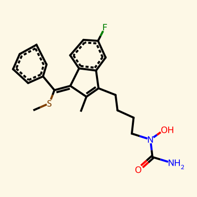 CSC(=C1C(C)=C(CCCCN(O)C(N)=O)c2cc(F)ccc21)c1ccccc1